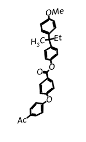 CCC(C)(c1ccc(OC)cc1)c1ccc(OC(=O)c2ccc(Oc3ccc(C(C)=O)cc3)cc2)cc1